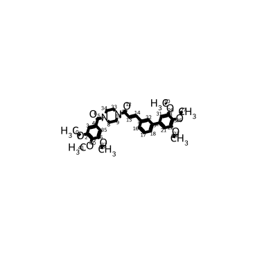 COc1cc(C(=O)N2CCN(C(=O)/C=C/c3cccc(-c4cc(OC)c(OC)c(OC)c4)c3)CC2)cc(OC)c1OC